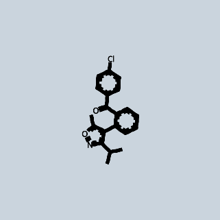 Cc1onc(C(C)C)c1-c1ccccc1C(=O)c1ccc(Cl)cc1